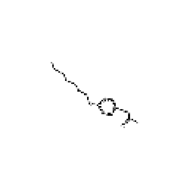 CCCCCCCSc1ccc(CC(C)=O)cc1